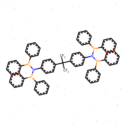 FC(F)(F)C(c1ccc(N(P(c2ccccc2)c2ccccc2)P(c2ccccc2)c2ccccc2)cc1)(c1ccc(N(P(c2ccccc2)c2ccccc2)P(c2ccccc2)c2ccccc2)cc1)C(F)(F)F